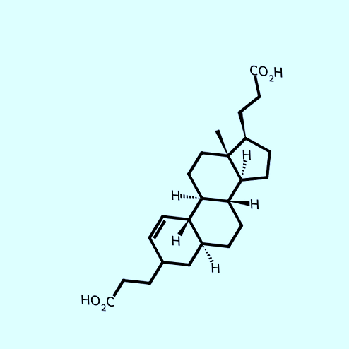 C[C@]12CC[C@@H]3[C@H]4C=CC(CCC(=O)O)C[C@@H]4CC[C@H]3[C@@H]1CC[C@@H]2CCC(=O)O